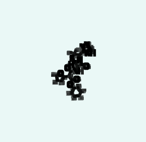 CC1(C)S[C@@H]2C(NC(=O)C(C(=O)Oc3ccccc3)c3ccco3)C(=O)N2C1c1nnn[nH]1